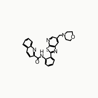 O=C(Nc1ccccc1-c1nc2cc(CN3CCOCC3)cnc2s1)c1ccc2ccccc2n1